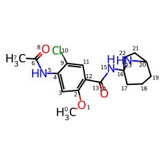 COc1cc(NC(C)=O)c(Cl)cc1C(=O)NC12CCCC(CC1)N2